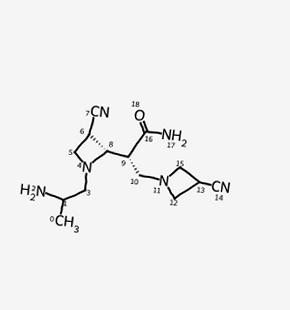 CC(N)CN1CC(C#N)[C@@H]1[C@@H](CN1CC(C#N)C1)C(N)=O